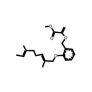 C=C(OCc1ccccc1OCC(C)=CCCC(C)=CC)C(=O)OC